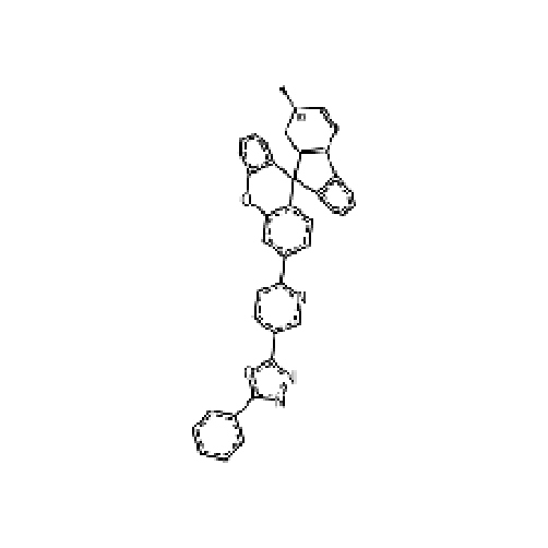 C[C@H]1C=CC2=C(C1)C1(c3ccccc3Oc3cc(-c4ccc(-c5nnc(-c6ccccc6)o5)cn4)ccc31)c1ccccc12